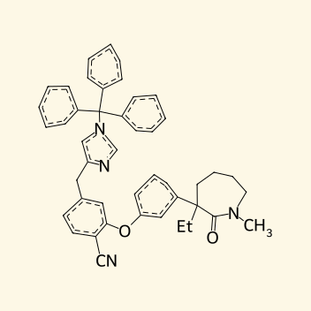 CCC1(c2cccc(Oc3cc(Cc4cn(C(c5ccccc5)(c5ccccc5)c5ccccc5)cn4)ccc3C#N)c2)CCCCN(C)C1=O